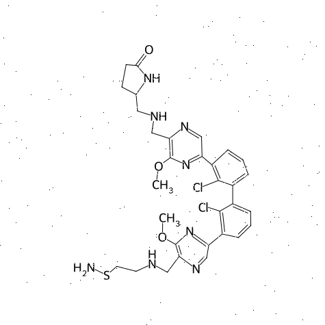 COc1nc(-c2cccc(-c3cccc(-c4cnc(CNCC5CCC(=O)N5)c(OC)n4)c3Cl)c2Cl)cnc1CNCCSN